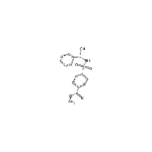 COC(=O)c1ccc(S(=O)(=O)NC(C)c2ccccc2)cc1